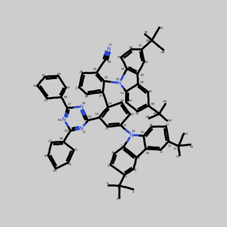 CC(C)(C)c1ccc2c(c1)c1cc(C(C)(C)C)ccc1n2-c1ccc(-c2cccc(C#N)c2-n2c3ccc(C(C)(C)C)cc3c3cc(C(C)(C)C)ccc32)c(-c2nc(-c3ccccc3)nc(-c3ccccc3)n2)c1